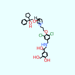 OCc1cc([C@@H](O)CNCc2cc(Cl)c(OCCC[N+]34CCC(CC3)[C@@H](OCC(O)(c3ccccc3)C3CCCC3)C4)c(Cl)c2)ccc1O